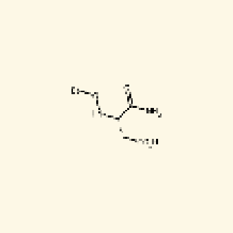 CCON[C@@H](CC(=O)O)C(N)=O